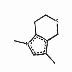 Cc1cn(C)c2c1CSCC2